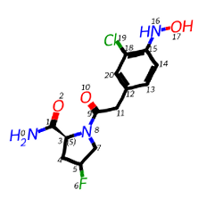 NC(=O)[C@@H]1CC(F)CN1C(=O)Cc1ccc(NO)c(Cl)c1